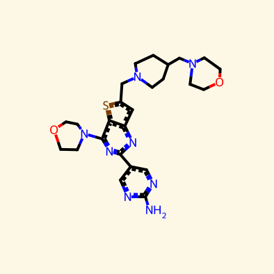 Nc1ncc(-c2nc(N3CCOCC3)c3sc(CN4CCC(CN5CCOCC5)CC4)cc3n2)cn1